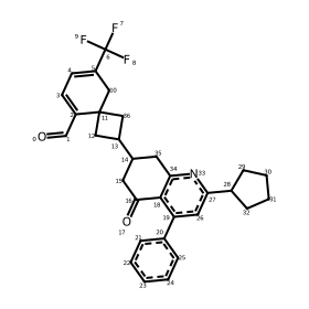 O=CC1=CC=C(C(F)(F)F)CC12CC(C1CC(=O)c3c(-c4ccccc4)cc(C4CCCC4)nc3C1)C2